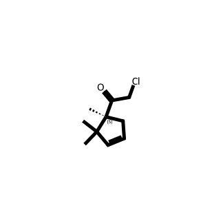 CC1(C)C=CC[C@]1(C)C(=O)CCl